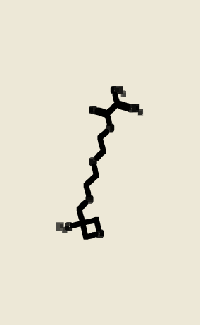 C=C(C)C(=O)OCCOCCOCC1(C)COC1